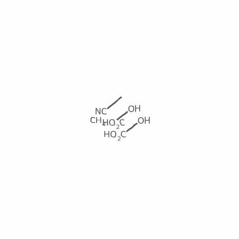 C.CC#N.O=C(O)O.O=C(O)O